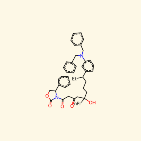 CCCC(O)(CCCC(CC)c1cccc(N(Cc2ccccc2)Cc2ccccc2)c1)CC(=O)CC(=O)N1C(=O)OCC1c1ccccc1